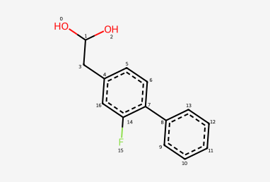 OC(O)Cc1ccc(-c2ccccc2)c(F)c1